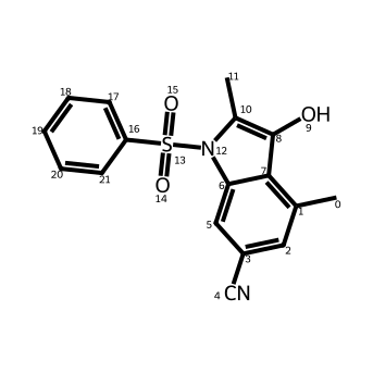 Cc1cc(C#N)cc2c1c(O)c(C)n2S(=O)(=O)c1ccccc1